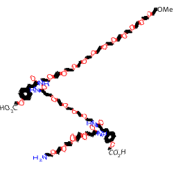 COCCOCCOCCOCCOCCOCCOCCOCCOCCOCCOCCOCCNC(=O)C(Cc1ccc(OCC(=O)O)cc1)NC(=O)CCOCCOCCOCCOCCNC(=O)C(Cc1ccc(OCC(=O)O)cc1)NC(=O)CCOCCOCCOCCOCCN